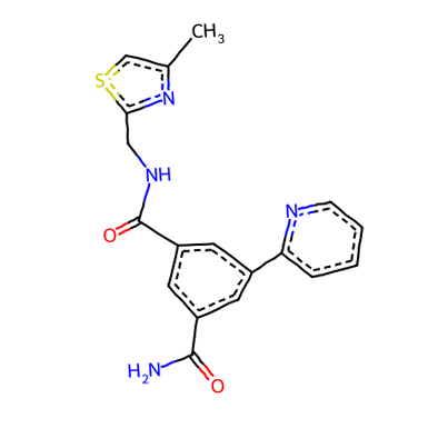 Cc1csc(CNC(=O)c2cc(C(N)=O)cc(-c3ccccn3)c2)n1